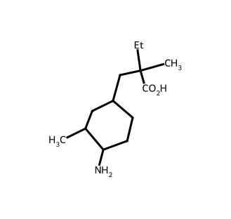 CCC(C)(CC1CCC(N)C(C)C1)C(=O)O